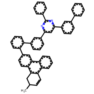 CC1C=Cc2c(c3ccc(-c4ccccc4-c4cccc(-c5cc(-c6cccc(-c7ccccc7)c6)nc(-c6ccccc6)n5)c4)cc3c3ccccc23)C1